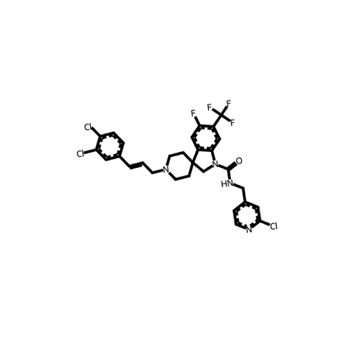 O=C(NCc1ccnc(Cl)c1)N1CC2(CCN(CC=Cc3ccc(Cl)c(Cl)c3)CC2)c2cc(F)c(C(F)(F)F)cc21